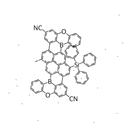 Cc1cc2c3c(cc4c([Si](c5ccccc5)(c5ccccc5)c5ccccc5)cc5c6c(cc1c3c46)B1c3ccccc3Oc3cc(C#N)cc-5c31)B1c3ccccc3Oc3cc(C#N)cc-2c31